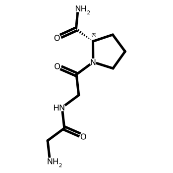 NCC(=O)NCC(=O)N1CCC[C@H]1C(N)=O